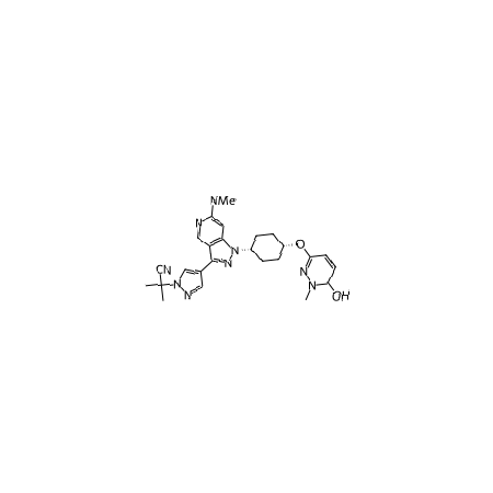 CNc1cc2c(cn1)c(-c1cnn(C(C)(C)C#N)c1)nn2[C@H]1CC[C@@H](OC2=NN(C)C(O)C=C2)CC1